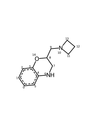 c1ccc2c(c1)NCC(CN1CCC1)O2